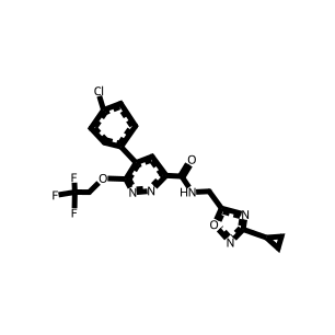 O=C(NCc1nc(C2CC2)no1)c1cc(-c2ccc(Cl)cc2)c(OCC(F)(F)F)nn1